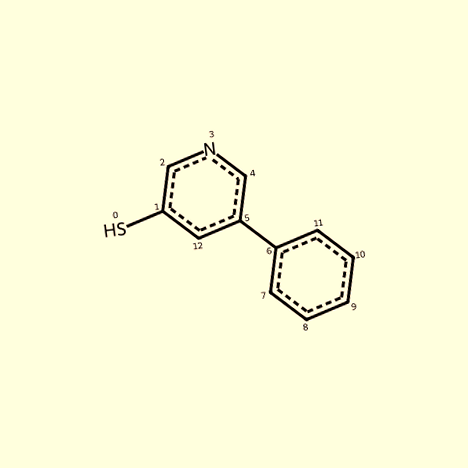 Sc1cncc(-c2ccccc2)c1